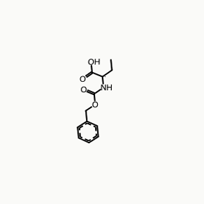 CC[C](NC(=O)OCc1ccccc1)C(=O)O